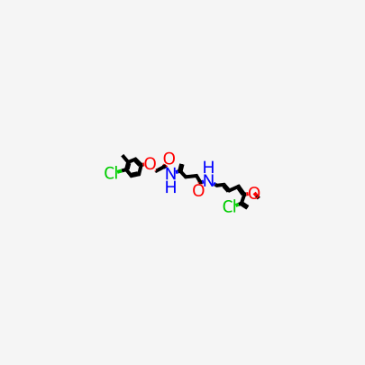 C=C(CCC(=O)NC/C=C/C=C(/OC)C(=C)Cl)NC(=O)COc1ccc(Cl)c(C)c1